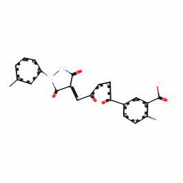 Cc1cccc(N2NC(=O)/C(=C\c3ccc(-c4ccc(Cl)c(C(=O)O)c4)o3)C2=O)c1